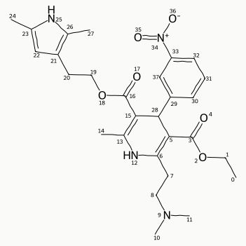 CCOC(=O)C1=C(CCN(C)C)NC(C)=C(C(=O)OCCc2cc(C)[nH]c2C)C1c1cccc([N+](=O)[O-])c1